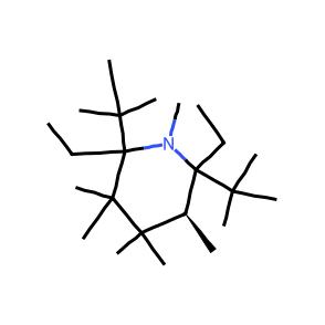 CCC1(C(C)(C)C)[C@@H](C)C(C)(C)C(C)(C)C(CC)(C(C)(C)C)N1C